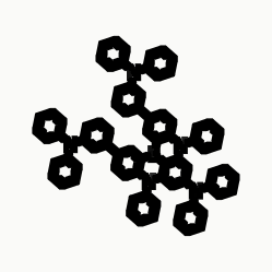 c1ccc(N(c2ccccc2)c2cccc(-c3ccc4c(c3)B3c5cc(-c6cccc(N(c7ccccc7)c7ccccc7)c6)ccc5N(c5ccccc5)c5cc(N(c6ccccc6)c6ccccc6)cc(c53)N4c3ccccc3)c2)cc1